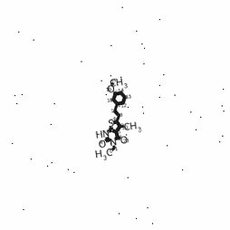 CCn1c(=O)[nH]c2sc(/C=C/c3cccc(OC)c3)c(C)c2c1=O